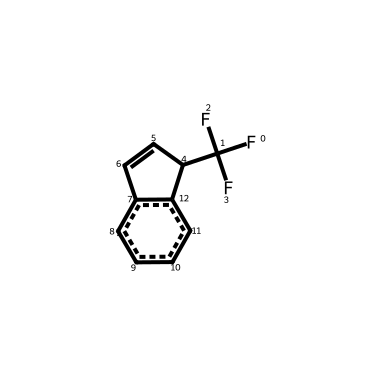 FC(F)(F)C1C=Cc2[c]cccc21